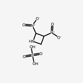 O=S(=O)(O)O.O=[N+]([O-])C1CNC1[N+](=O)[O-]